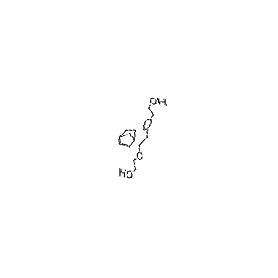 C1=CC2CCC1C2.OCCOCCOCCO